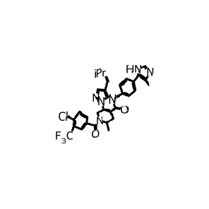 Cc1nc[nH]c1-c1ccc(-n2c(=O)c3c(n4ncc(CC(C)C)c24)CN(C(=O)c2ccc(Cl)c(C(F)(F)F)c2)C(C)C3)cc1